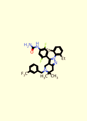 CCc1cccc(CC)c1-n1nc2c(c1-c1cc(F)c(NC(N)=O)cc1F)CN(Cc1cccc(C(F)(F)F)c1)C(C)(C)C2